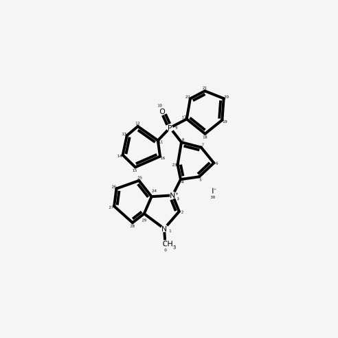 Cn1c[n+](-c2cccc(P(=O)(c3ccccc3)c3ccccc3)c2)c2ccccc21.[I-]